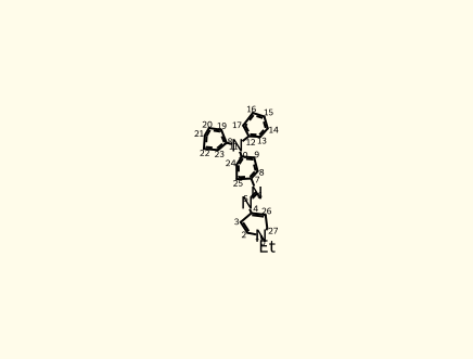 CCN1C=CC(N=Nc2ccc(N(c3ccccc3)c3ccccc3)cc2)=CC1